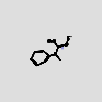 [CH2-]/[O+]=C(\OC)N(C)c1ccccc1